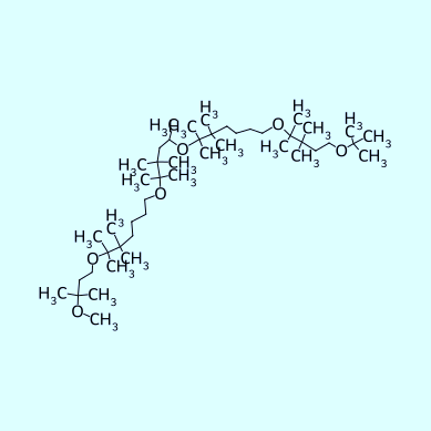 COC(C)(C)CCOC(C)(C)C(C)(C)CCCCOC(C)(C)C(C)(C)CC(C)OC(C)(C)C(C)(C)CCCCOC(C)(C)C(C)(C)CCOC(C)(C)C